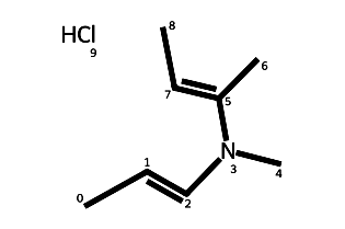 CC=CN(C)C(C)=CC.Cl